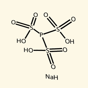 O=S(=O)(O)P(S(=O)(=O)O)S(=O)(=O)O.[NaH]